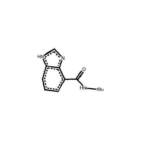 CC(C)(C)NC(=O)c1cccc2[nH]cnc12